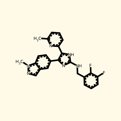 Cc1cccc(-c2[nH]c(NCc3cccc(F)c3F)nc2-c2ccc3c(cnn3C)c2)n1